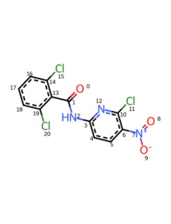 O=C(Nc1ccc([N+](=O)[O-])c(Cl)n1)c1c(Cl)cccc1Cl